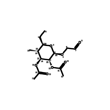 CC[C@H]1O[C@@H](OCC=O)[C@H](OC(C)=O)[C@@H](OC(C)=O)[C@@H]1C